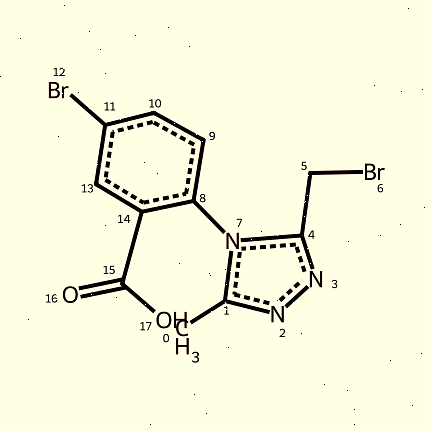 Cc1nnc(CBr)n1-c1ccc(Br)cc1C(=O)O